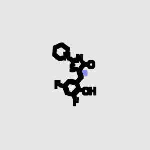 O=C1N=C(N2CCCCC2)S/C1=C\c1cc(F)cc(F)c1O